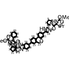 COC(=O)N[C@H](C(=O)N1CCC[C@H]1c1ncc(-c2ccc3c(c2)OCc2cc(-c4ccc5nc([C@@H]6[C@H]7CC[C@H](C7)N6C(=O)[C@@H](c6ccccc6)N(N)C(=O)OC)[nH]c5c4)ccc2-3)[nH]1)C(C)C